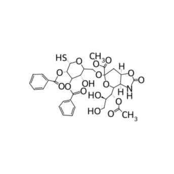 COC(=O)[C@@]1(OCC2O[C@@H](S)[C@@H](OC(=O)c3ccccc3)C(OC(=O)c3ccccc3)[C@H]2O)C[C@H]2OC(=O)N[C@H]2C([C@H](OC(C)=O)[C@H](O)CO)O1